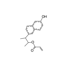 C=CC(=O)OC(C)C(C)c1ccc2cc(O)ccc2c1